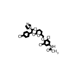 CC(=O)Nc1cc(Cl)c(OCC2CCCC(OC(c3ccc(Cl)cc3)C(Cl)n3ccnc3)O2)c(Cl)c1